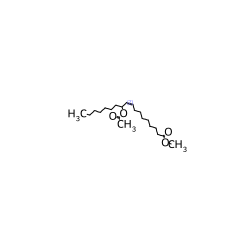 CCCCCCCC(/C=C\CCCCCCCC(=O)OC)OC(C)=O